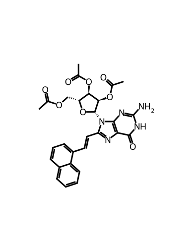 CC(=O)OC[C@H]1O[C@@H](n2c(C=Cc3cccc4ccccc34)nc3c(=O)[nH]c(N)nc32)[C@H](OC(C)=O)[C@@H]1OC(C)=O